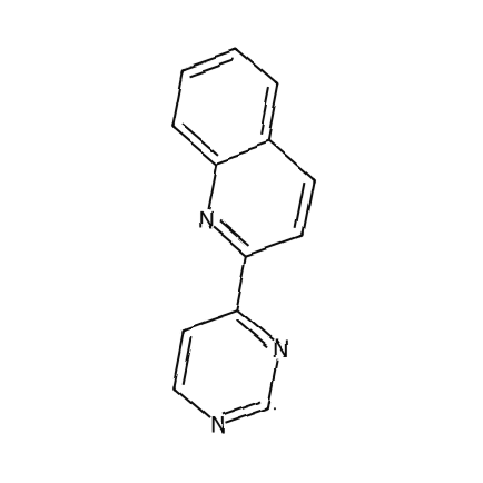 [c]1nccc(-c2ccc3ccccc3n2)n1